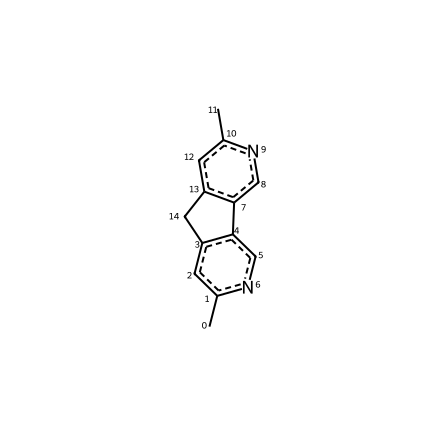 Cc1cc2c(cn1)-c1cnc(C)cc1C2